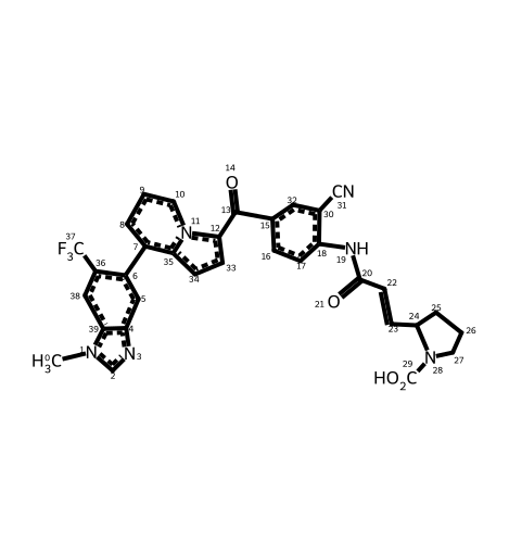 Cn1cnc2cc(-c3cccn4c(C(=O)c5ccc(NC(=O)/C=C/C6CCCN6C(=O)O)c(C#N)c5)ccc34)c(C(F)(F)F)cc21